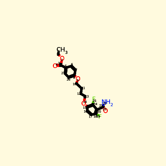 CCOC(=O)c1ccc(OCCCCOc2ccc(F)c(C(N)=O)c2F)cc1